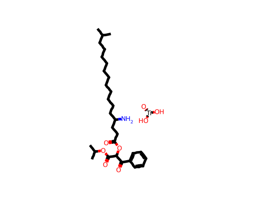 CC(C)CCCCCCCCCCCC(N)CCC(=O)OC(C(=O)OC(C)C)C(=O)c1ccccc1.[O]=[Ti]([OH])[OH]